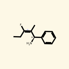 CC/C(F)=C(/C)[C@H](N)c1ccccc1